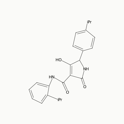 CC(C)c1ccc(C2NC(=O)C(C(=O)Nc3ccccc3C(C)C)=C2O)cc1